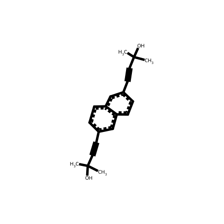 CC(C)(O)C#Cc1ccc2cc(C#CC(C)(C)O)ccc2c1